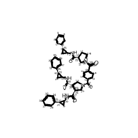 O=C(NC1C[C@@H]1c1ccccc1)[C@H]1CCN(C(=O)c2ccc(C(=O)N3C[C@@H](C(=O)NC4C[C@H]4c4ccccc4)[C@H](C(=O)NC4C[C@H]4c4ccccc4)C3)cc2)C1